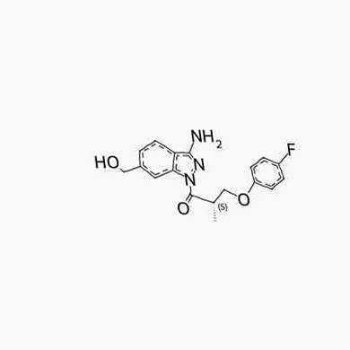 C[C@@H](COc1ccc(F)cc1)C(=O)n1nc(N)c2ccc(CO)cc21